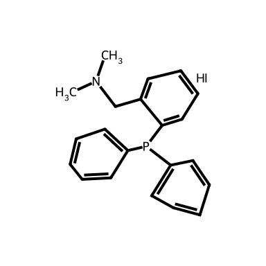 CN(C)Cc1ccccc1P(c1ccccc1)c1ccccc1.I